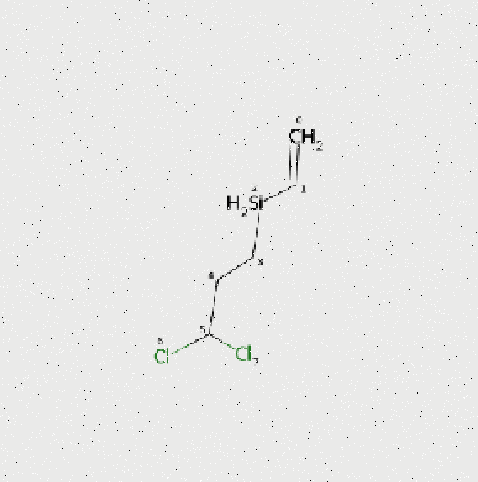 C=C[SiH2]CCC(Cl)Cl